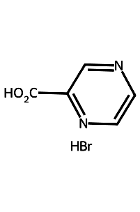 Br.O=C(O)c1cnccn1